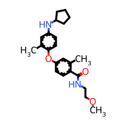 COCCNC(=O)c1ccc(Oc2ccc(NC3CCCC3)cc2C)cc1C